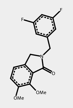 COc1ccc2c(c1OC)C(=O)N(Cc1cc(F)cc(F)c1)C2